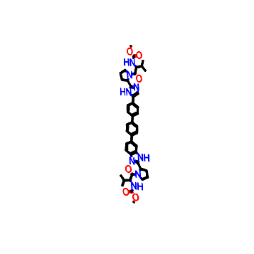 COC(=O)NC(C(=O)N1CCCC1c1ncc(-c2ccc(-c3ccc(-c4ccc5nc(C6CCCN6C(=O)C(NC(=O)OC)C(C)C)[nH]c5c4)cc3)cc2)[nH]1)C(C)C